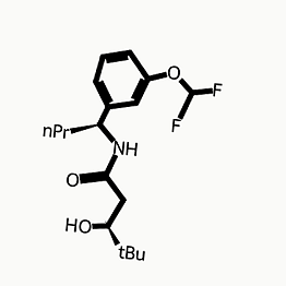 CCC[C@H](NC(=O)C[C@H](O)C(C)(C)C)c1cccc(OC(F)F)c1